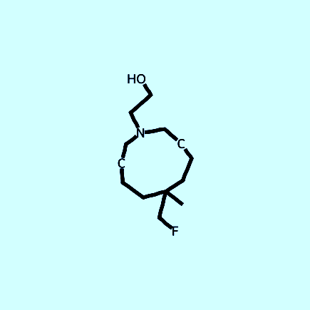 CC1(CF)CCCCN(CCO)CCCC1